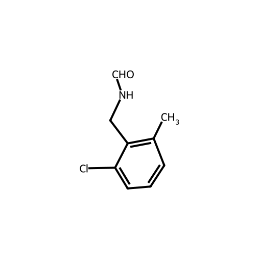 Cc1cccc(Cl)c1CNC=O